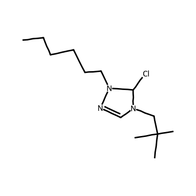 CCCCCCN1N=CN(CC(C)(C)C)C1Cl